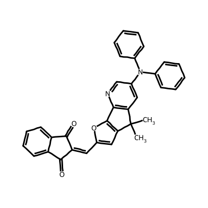 CC1(C)c2cc(N(c3ccccc3)c3ccccc3)cnc2-c2oc(C=C3C(=O)c4ccccc4C3=O)cc21